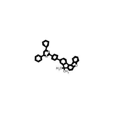 CC1(C)c2cc(-c3ccc(-c4nc(-c5ccccc5)cc(-c5ccccc5)n4)cc3)ccc2-c2c1ccc1oc3ccccc3c21